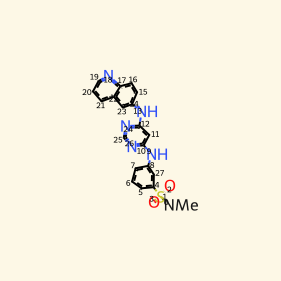 CNS(=O)(=O)c1cccc(Nc2cc(Nc3ccc4ncccc4c3)ncn2)c1